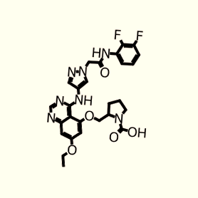 CCOc1cc(OCC2CCCN2C(=O)O)c2c(Nc3cnn(CC(=O)Nc4cccc(F)c4F)c3)ncnc2c1